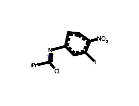 CC(C)/C(Cl)=N/c1ccc([N+](=O)[O-])c(I)c1